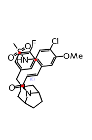 COc1cc(/C=C/C(=O)N2C3CCC2CN(Cc2ccc(F)cc2)C3)c(NS(C)(=O)=O)cc1Cl